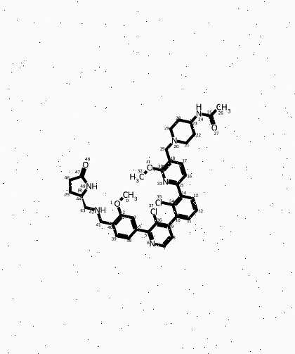 COc1cc(-c2nccc(-c3cccc(-c4ccc(CN5CCC(NC(C)=O)CC5)c(OC)n4)c3Cl)c2Cl)ccc1CNC[C@H]1CCC(=O)N1